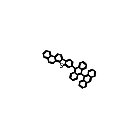 c1ccc2c(-c3c4ccccc4c(-c4ccc5c(c4)sc4c5ccc5c6ccccc6ccc54)c4ccccc34)c3ccccc3cc2c1